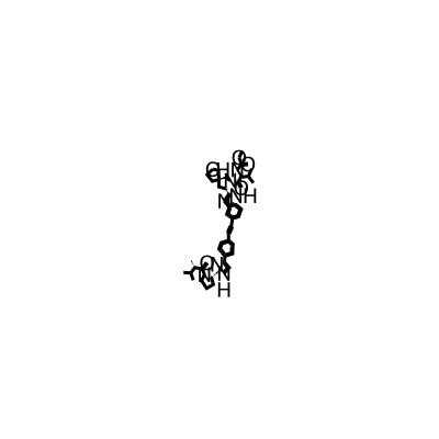 COC(=O)N[C@H](C(=O)N1C[C@]2(CCOC2)C[C@H]1c1nc2cc(C#Cc3ccc(-c4c[nH]c([C@@H]5CCCN5C(=O)[C@@H](C)C(C)C)n4)cc3)ccc2[nH]1)C(C)C